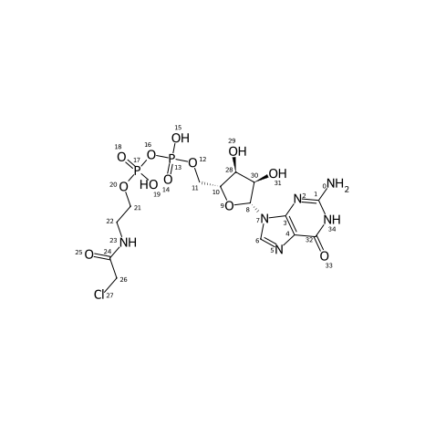 Nc1nc2c(ncn2[C@@H]2O[C@H](COP(=O)(O)OP(=O)(O)OCCNC(=O)CCl)[C@@H](O)[C@H]2O)c(=O)[nH]1